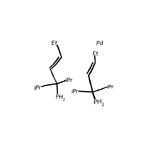 CCC=CC(P)(C(C)C)C(C)C.CCC=CC(P)(C(C)C)C(C)C.[Pd]